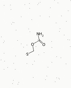 NC(=O)OC[S]